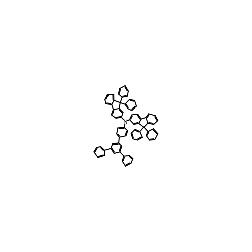 c1ccc(-c2cc(-c3ccccc3)cc(-c3ccc(N(c4ccc5c(c4)C(c4ccccc4)(c4ccccc4)c4ccccc4-5)c4ccc5c(c4)C(c4ccccc4)(c4ccccc4)c4ccccc4-5)cc3)c2)cc1